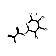 C=C(C)C(=O)OC1OC(C(=O)O)C(O)C(O)C1O